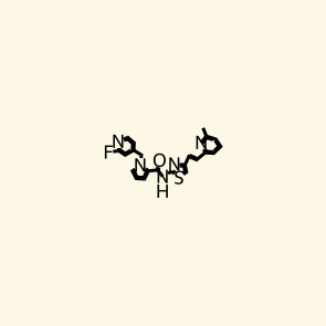 Cc1cccc(C=Cc2csc(NC(=O)c3cccn3Cc3ccnc(F)c3)n2)n1